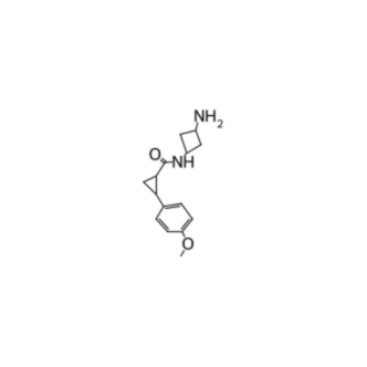 COc1ccc(C2CC2C(=O)NC2CC(N)C2)cc1